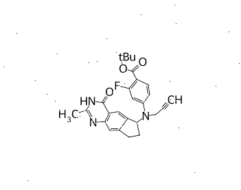 C#CCN(c1ccc(C(=O)OC(C)(C)C)c(F)c1)C1CCc2cc3nc(C)[nH]c(=O)c3cc21